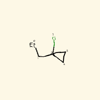 CC[CH]C1(Cl)CC1